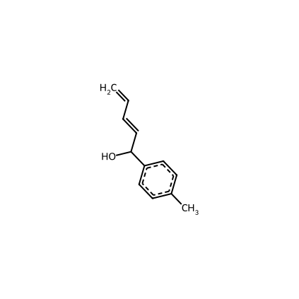 C=C/C=C/C(O)c1ccc(C)cc1